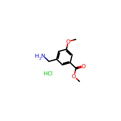 COC(=O)c1cc(CN)cc(OC)c1.Cl